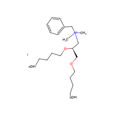 CCCCCCCCCCCCCCOC[C@H](C[N+](C)(C)Cc1ccccc1)OCCCCCCCCCCCCCC.[I-]